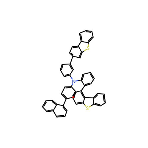 c1cc(-c2ccc3c(c2)sc2ccccc23)cc(N(c2ccc(-c3cccc4ccccc34)cc2)c2ccccc2-c2cccc3sc4ccccc4c23)c1